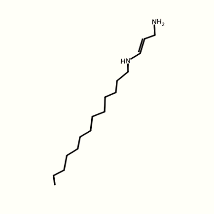 CCCCCCCCCCCCCNC=CCN